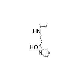 CC=C(C)NCCCC(O)c1ccccn1